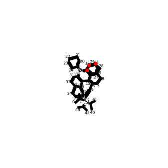 CC(C)[Si](C#Cc1ccc2ccccc2c1-c1c(P(c2ccccc2)c2ccccc2)ccc2ccccc12)(C(C)C)C(C)C